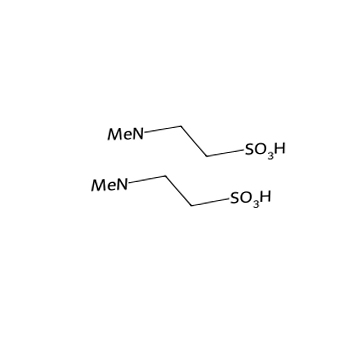 CNCCS(=O)(=O)O.CNCCS(=O)(=O)O